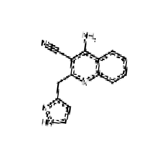 N#Cc1c(Cc2cc[nH]n2)nc2ccccc2c1N